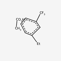 CC(=O)O.CCc1cccc(C(F)(F)F)c1